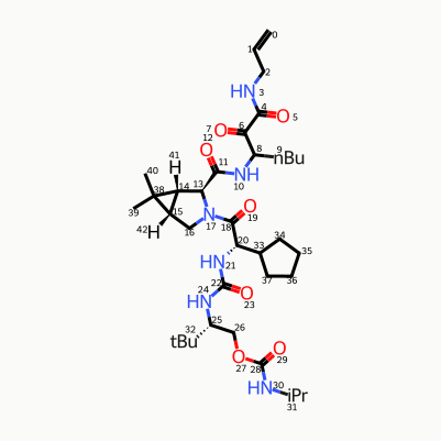 C=CCNC(=O)C(=O)C(CCCC)NC(=O)[C@@H]1[C@@H]2[C@H](CN1C(=O)[C@@H](NC(=O)N[C@H](COC(=O)NC(C)C)C(C)(C)C)C1CCCC1)C2(C)C